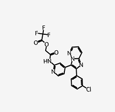 O=C(COC(=O)C(F)(F)F)Nc1cc(-c2c(-c3cccc(Cl)c3)nc3cccnn23)ccn1